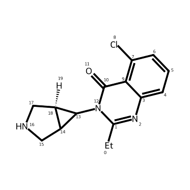 CCc1nc2cccc(Cl)c2c(=O)n1C1C2CNC[C@H]21